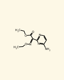 CCON=C(C(=O)OCC)c1nccc(N)n1